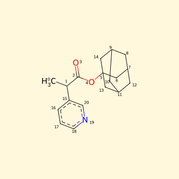 CC(C(=O)OC12CC3CC(CC(C3)C1)C2)c1cccnc1